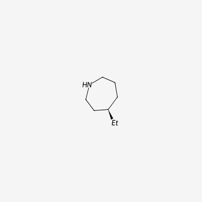 CC[C@@H]1CCCNCC1